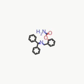 NC(=O)Oc1ccccc1CN=C(c1ccccc1)c1ccccc1